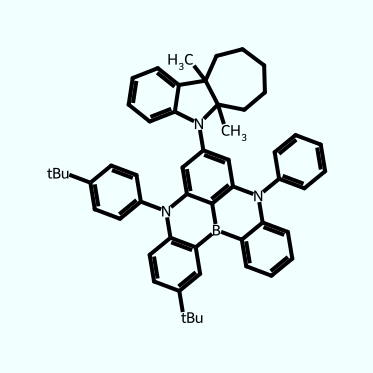 CC(C)(C)c1ccc(N2c3ccc(C(C)(C)C)cc3B3c4ccccc4N(c4ccccc4)c4cc(N5c6ccccc6C6(C)CCCCCC56C)cc2c43)cc1